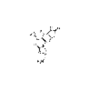 NC[C@@H]1CN(c2cc3c(c(F)c2CC2CC2)NC(=O)C3)C(=O)O1